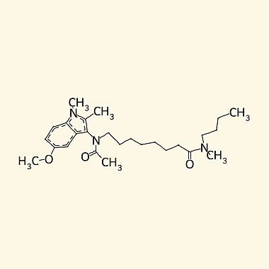 CCCCN(C)C(=O)CCCCCCCN(C(C)=O)c1c(C)n(C)c2ccc(OC)cc12